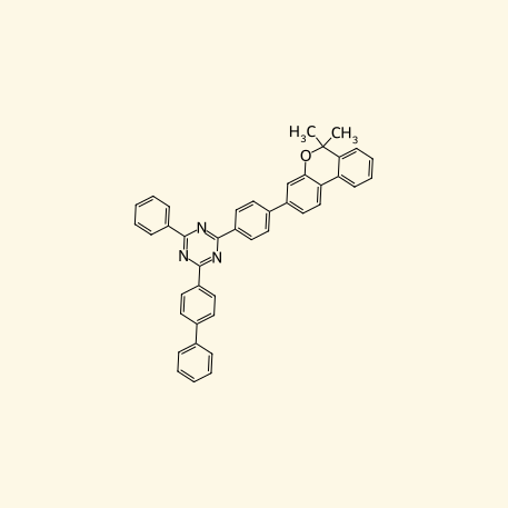 CC1(C)Oc2cc(-c3ccc(-c4nc(-c5ccccc5)nc(-c5ccc(-c6ccccc6)cc5)n4)cc3)ccc2-c2ccccc21